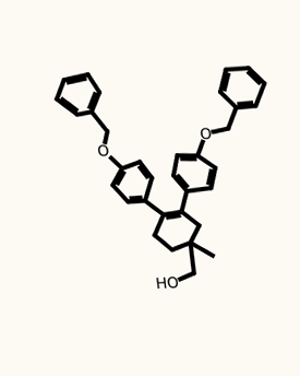 CC1(CO)CCC(c2ccc(OCc3ccccc3)cc2)=C(c2ccc(OCc3ccccc3)cc2)C1